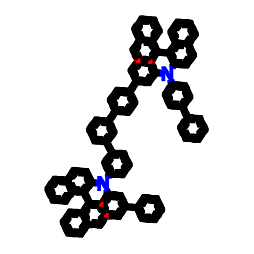 c1ccc(-c2ccc(N(c3cccc(-c4ccc(-c5cccc(-c6cccc(N(c7cccc(-c8ccccc8)c7)c7ccc8ccccc8c7-c7cccc8ccccc78)c6)c5)cc4)c3)c3ccc4ccccc4c3-c3cccc4ccccc34)cc2)cc1